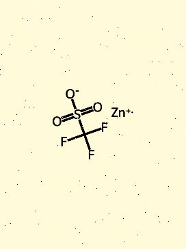 O=S(=O)([O-])C(F)(F)F.[Zn+]